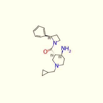 N[C@H]1CCN(CC2CC2)C[C@@H]1C(=O)N1CC[C@@H]1c1ccccc1